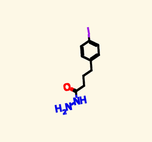 NNC(=O)CCCc1ccc(I)cc1